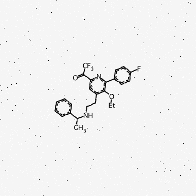 CCOc1c(CCN[C@@H](C)c2ccccc2)cc(C(=O)C(F)(F)F)nc1-c1ccc(F)cc1